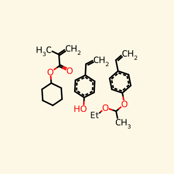 C=C(C)C(=O)OC1CCCCC1.C=Cc1ccc(O)cc1.C=Cc1ccc(OC(C)OCC)cc1